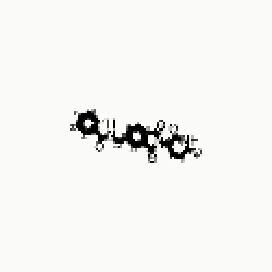 O=C1CCC(N2C(=O)c3ccc(CNC(=O)c4ccccc4)cc3C2=O)C(=O)N1